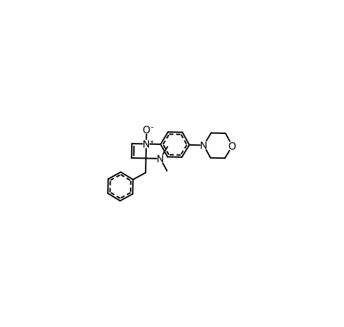 CN(C)C1(Cc2ccccc2)C=C[N+]1([O-])c1ccc(N2CCOCC2)cc1